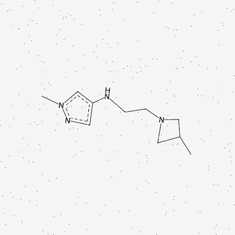 CC1CN(CCNc2cnn(C)c2)C1